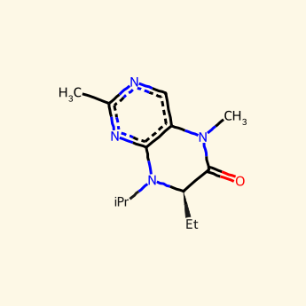 CC[C@@H]1C(=O)N(C)c2cnc(C)nc2N1C(C)C